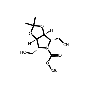 CC(C)(C)OC(=O)N1[C@H](CO)[C@H]2OC(C)(C)O[C@H]2[C@@H]1CC#N